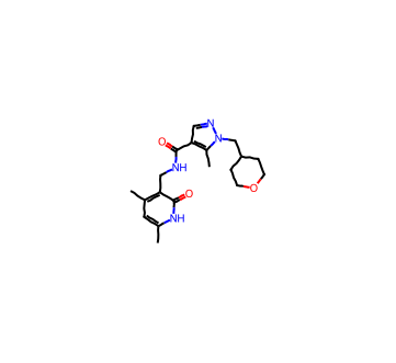 Cc1cc(C)c(CNC(=O)c2cnn(CC3CCOCC3)c2C)c(=O)[nH]1